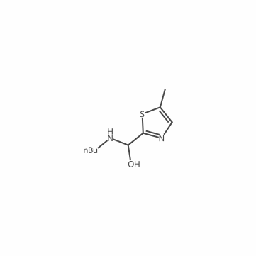 CCCCNC(O)c1ncc(C)s1